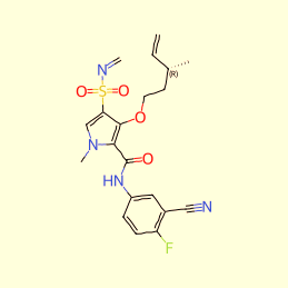 C=C[C@H](C)CCOc1c(S(=O)(=O)N=C)cn(C)c1C(=O)Nc1ccc(F)c(C#N)c1